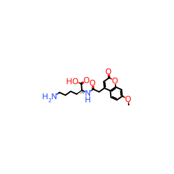 COc1ccc2c(CC(=O)N[C@@H](CCCCN)C(=O)O)cc(=O)oc2c1